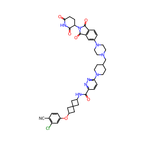 N#Cc1ccc(OC2CC3(CC(NC(=O)c4ccc(N5CCC(CN6CCN(c7ccc8c(c7)C(=O)N(C7CCC(=O)NC7=O)C8=O)CC6)CC5)nn4)C3)C2)cc1Cl